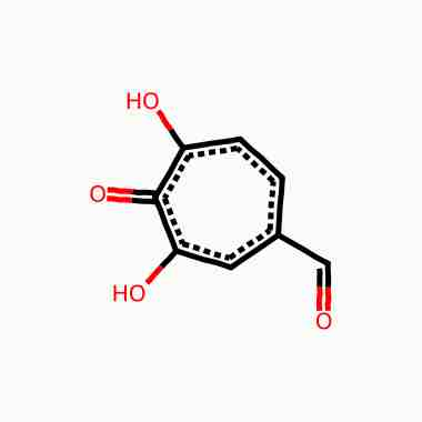 O=Cc1ccc(O)c(=O)c(O)c1